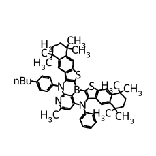 CCCCc1ccc(N2c3nc(C)cc4c3B(c3sc5cc6c(cc5c3N4c3ccccc3)C(C)(C)CCC6(C)C)c3sc4cc5c(cc4c32)C(C)(C)CCC5(C)C)cc1